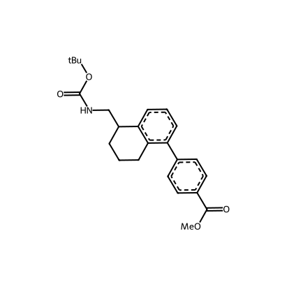 COC(=O)c1ccc(-c2cccc3c2CCCC3CNC(=O)OC(C)(C)C)cc1